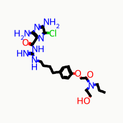 CCCN(CCO)C(=O)COc1ccc(CCCCNC(=N)NC(=O)c2nc(Cl)c(N)nc2N)cc1